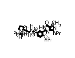 [2H]C(NS(=O)(=O)c1ccc(OCCC)c(-c2nc3c(CCC)nn(C)c3c(=O)[nH]2)c1)C([2H])([2H])C1CCCN1C([2H])([2H])[2H]